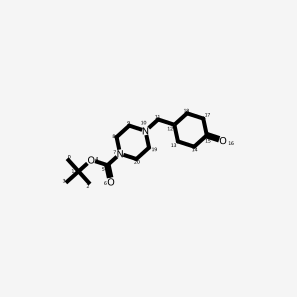 CC(C)(C)OC(=O)N1CCN(CC2CCC(=O)CC2)CC1